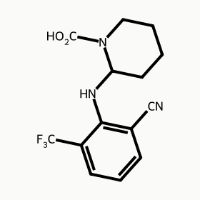 N#Cc1cccc(C(F)(F)F)c1NC1CCCCN1C(=O)O